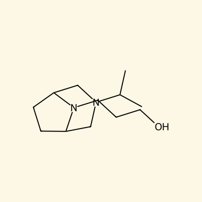 CC(C)N1CC2CCC(C1)N2CCCO